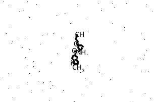 C#CCCOc1cccc(NC(=O)c2ccc3nc(C)ccc3c2)c1